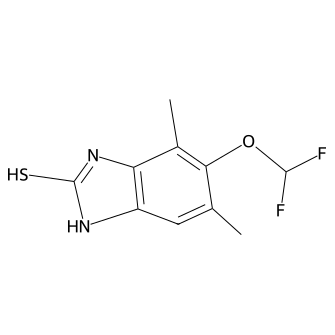 Cc1cc2[nH]c(S)nc2c(C)c1OC(F)F